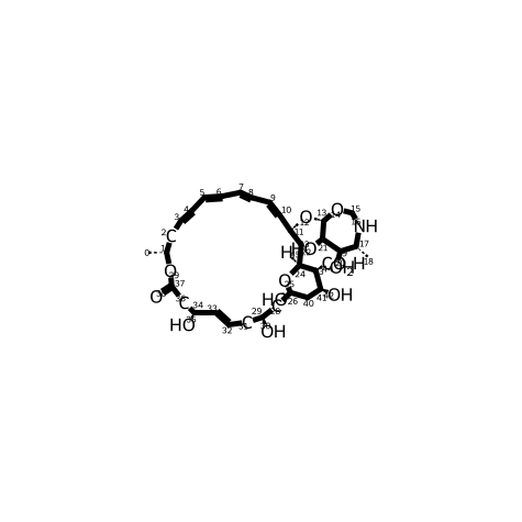 C[C@@H]1C/C=C/C=C/C=C/C=C/[C@H](O[C@@H]2OCN[C@H](C)C(O)C2O)C[C@@H]2O[C@](O)(C[C@@H](O)C/C=C/[C@H](O)CC(=O)O1)C[C@H](O)[C@H]2C(=O)O